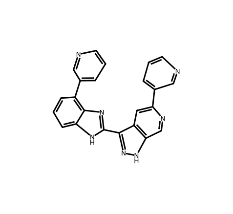 c1cncc(-c2cc3c(-c4nc5c(-c6cccnc6)cccc5[nH]4)n[nH]c3cn2)c1